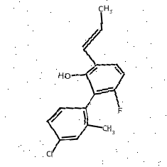 CC=Cc1ccc(F)c(-c2ccc(Cl)cc2C)c1O